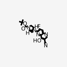 CC(C)(C)OC(=O)N1C[C@@H]2C[C@H]1CN2c1nc2c(O)c(C#N)cnc2cc1F